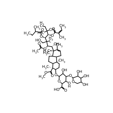 C/C=C(/C)C(=O)O[C@@H]([C@H](OC(=O)C(C)CC)C(C)(CO)[C@H](OC(C)=O)[C@H](O)[C@]1(C)C(C)=CCC2[C@@]3(C)CCC(OC4OC(C(=O)O)C(O)C(OC5OCC(O)C(O)C5O)C4O)[C@@](C)(C(=O)OC)C3CC[C@]21C)C(C)(C)CC